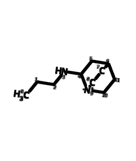 CCCNC1CC2CC[N+]1CC2